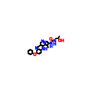 Cc1c(NC(=O)NCC(C)O)cn2ncc(C#N)c(NC3=CCC(Oc4ccccc4)C=C3)c12